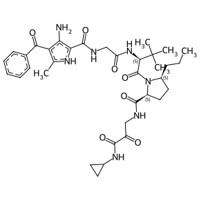 CCC[C@H]1CC[C@@H](C(=O)NCC(=O)C(=O)NC2CC2)N1C(=O)[C@@H](NC(=O)CNC(=O)c1[nH]c(C)c(C(=O)c2ccccc2)c1N)C(C)(C)C